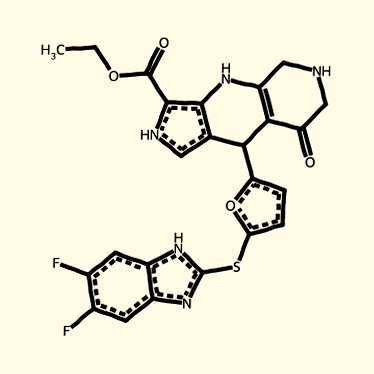 CCOC(=O)c1[nH]cc2c1NC1=C(C(=O)CNC1)C2c1ccc(Sc2nc3cc(F)c(F)cc3[nH]2)o1